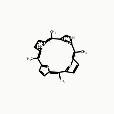 C/C1=C2\C=CC(=N2)/C(C)=c2/cc/c([nH]2)=C(\C)c2c[nH]c(c2)/C(C)=C2/C=CC1=N2